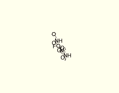 C=CC(=O)NC1CCN(S(=O)(=O)c2ccc(C(=O)NCCc3ccccc3)c(F)c2)C2(CCC2)C1